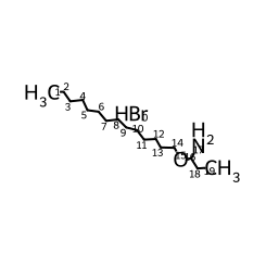 Br.CCCCCCCCCCCCCCOC(N)CC